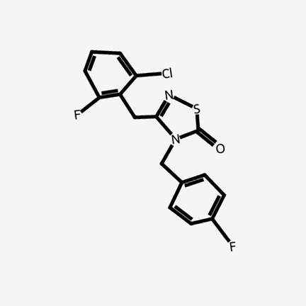 O=c1snc(Cc2c(F)cccc2Cl)n1Cc1ccc(F)cc1